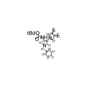 CC(C)(C)OC(=O)N[C@@H]1CN(Cc2ccccc2)C[C@H]1n1cc(F)c(F)c1